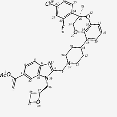 C=C(OC)c1ccc2nc(CN3CCC(c4cccc5c4OC[C@@](C)(c4ccc(Cl)cc4F)O5)CC3)n(C[C@@H]3CCO3)c2c1